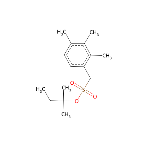 CCC(C)(C)OS(=O)(=O)Cc1ccc(C)c(C)c1C